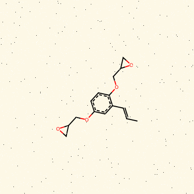 CC=Cc1cc(OCC2CO2)ccc1OCC1CO1